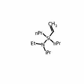 C=C[Si](CCC)(CCC)N(CC)C(C)C